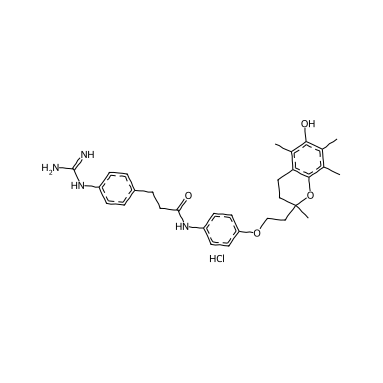 Cc1c(C)c2c(c(C)c1O)CCC(C)(CCOc1ccc(NC(=O)CCc3ccc(NC(=N)N)cc3)cc1)O2.Cl